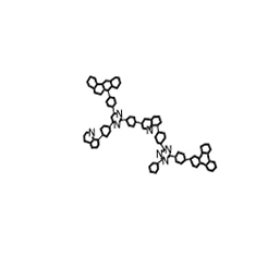 c1ccc(-c2nc(-c3ccc(-c4ccc5c6ccccc6c6ccccc6c5c4)cc3)nc(-c3ccc(-c4cccc5cc(-c6ccc(-c7nc(-c8ccc(-c9c%10ccccc%10cc%10c9ccc9ccccc9%10)cc8)cc(-c8ccc(-c9cccc%10cccnc9%10)cc8)n7)cc6)cnc45)cc3)n2)cc1